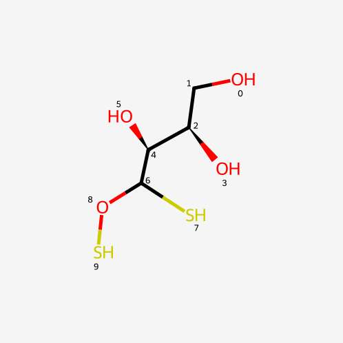 OC[C@@H](O)[C@H](O)C(S)OS